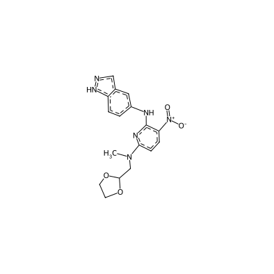 CN(CC1OCCO1)c1ccc([N+](=O)[O-])c(Nc2ccc3[nH]ncc3c2)n1